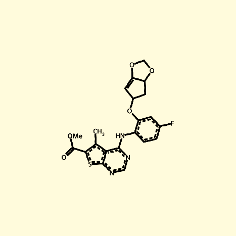 COC(=O)c1sc2ncnc(Nc3ccc(F)cc3OC3C=C4OCOC4C3)c2c1C